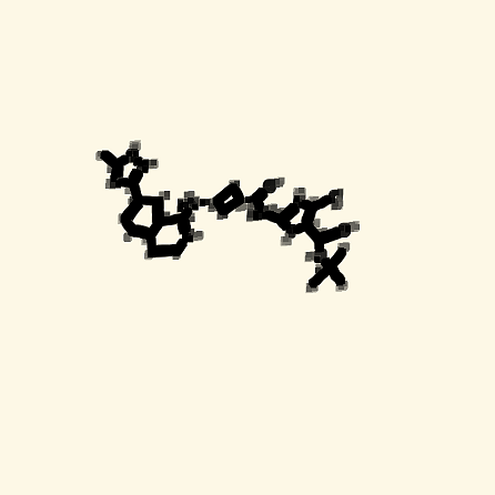 Cc1nc(-c2ccc3ccnc(N[C@H]4C[C@@H](C(=O)Nc5nc(Cl)c(C(=O)OC(C)(C)C)s5)C4)c3c2)no1